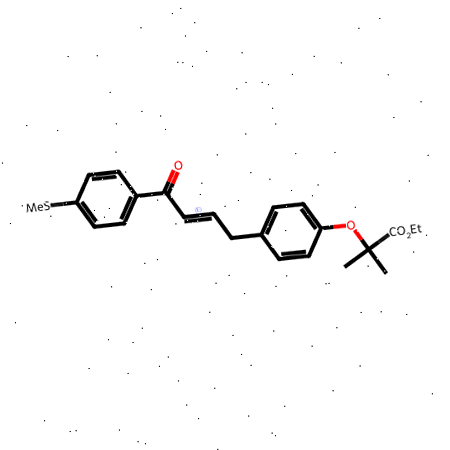 CCOC(=O)C(C)(C)Oc1ccc(C/C=C/C(=O)c2ccc(SC)cc2)cc1